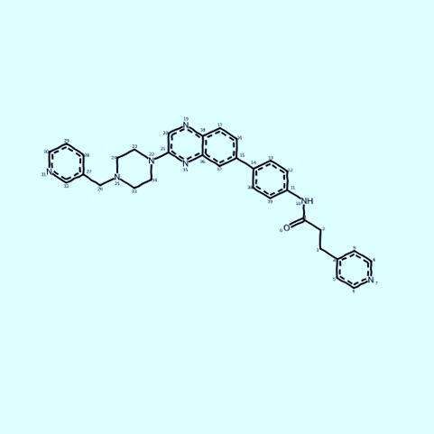 O=C(CCc1ccncc1)Nc1ccc(-c2ccc3ncc(N4CCN(Cc5cccnc5)CC4)nc3c2)cc1